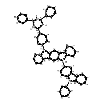 c1ccc(-c2nc(-c3ccccc3)nc(-c3ccc(-n4c5ccccc5c5cc6c(cc54)c4ccccc4n6-c4ccc5c(c4)c4ccccc4n5-c4ccccc4)cc3)n2)cc1